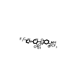 CCS(=O)(=O)c1cc(-n2ccc(C(F)(F)F)n2)cnc1-c1nc2cc(S(=N)(=O)C(F)(F)F)ccc2o1